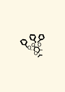 CC(C)[C@@H]1O[C@H](COCc2ccccc2)[C@H](OCc2ccccc2)[C@H](OCc2ccccc2)[C@H]1C